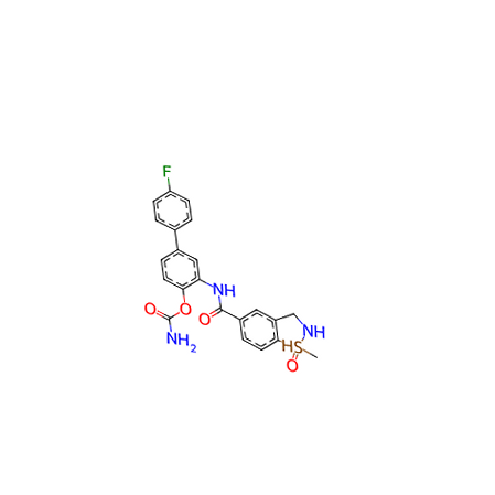 C[SH]1(=O)NCc2cc(C(=O)Nc3cc(-c4ccc(F)cc4)ccc3OC(N)=O)ccc21